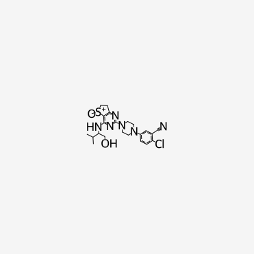 CC(C)C(CO)Nc1nc(N2CCN(c3ccc(Cl)c(C#N)c3)CC2)nc2c1[S+]([O-])CC2